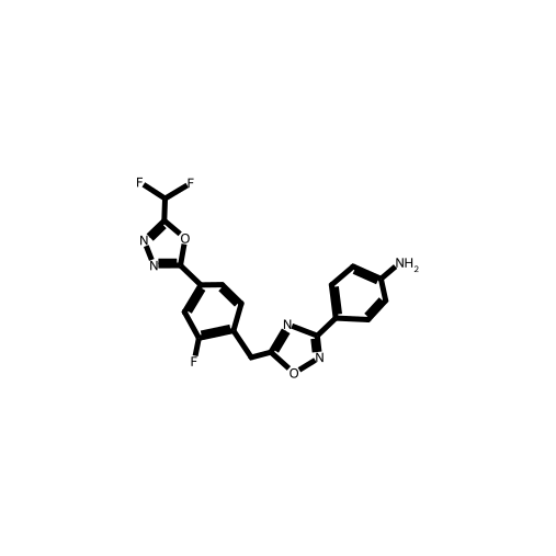 Nc1ccc(-c2noc(Cc3ccc(-c4nnc(C(F)F)o4)cc3F)n2)cc1